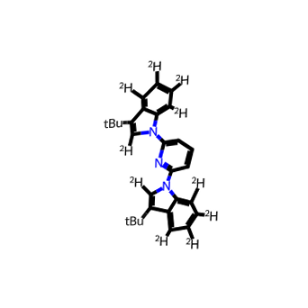 [2H]c1c([2H])c([2H])c2c(c1[2H])c(C(C)(C)C)c([2H])n2-c1cccc(-n2c([2H])c(C(C)(C)C)c3c([2H])c([2H])c([2H])c([2H])c32)n1